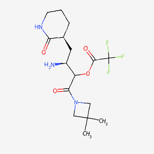 CC1(C)CN(C(=O)C(OC(=O)C(F)(F)F)[C@@H](N)C[C@@H]2CCCNC2=O)C1